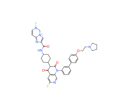 O=C(NC1CCC(C2C(=O)c3cc(F)ncc3N(c3cccc(-c4ccc(OCCN5CCCC5)cc4)c3)C2=O)CC1)C1=C[N+]2CN(F)C=CC2=N1